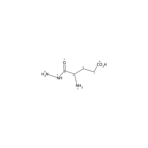 NNC(=O)C(N)CCC(=O)O